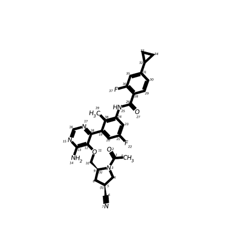 CC(=O)N1C[C@@H](C#N)C[C@H]1COc1c(N)ncnc1-c1cc(F)cc(NC(=O)c2ccc(C3CC3)cc2F)c1C